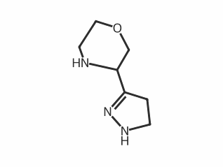 C1CC(C2COCCN2)=NN1